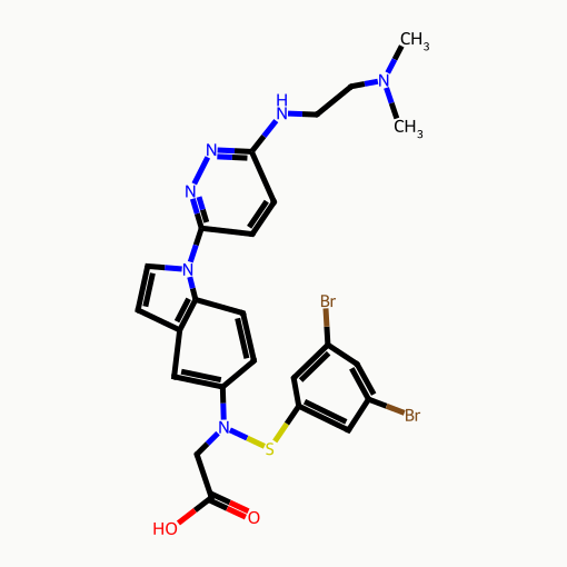 CN(C)CCNc1ccc(-n2ccc3cc(N(CC(=O)O)Sc4cc(Br)cc(Br)c4)ccc32)nn1